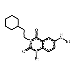 CCNc1ccc2c(c1)c(=O)n(CCC1CCCCC1)c(=O)n2CC